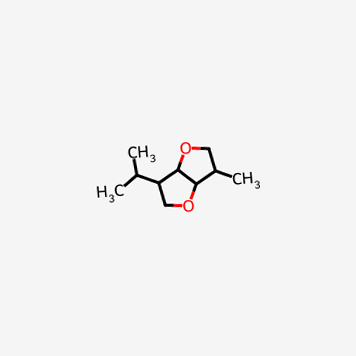 CC(C)C1COC2C(C)COC12